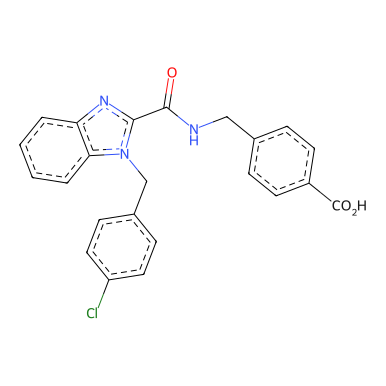 O=C(O)c1ccc(CNC(=O)c2nc3ccccc3n2Cc2ccc(Cl)cc2)cc1